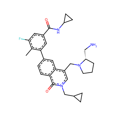 Cc1c(F)cc(C(=O)NC2CC2)cc1-c1ccc2c(=O)n(CC3CC3)cc(CN3CCC[C@H]3CN)c2c1